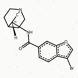 O=C(N[C@H]1CN2CCC1CC2)c1ccc2c(Br)coc2c1